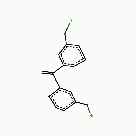 C=C(c1cccc(CBr)c1)c1cccc(CBr)c1